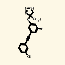 N#Cc1cccc(C#Cc2cc(F)cc(OC3(C(=O)O)CNN=N3)c2)c1